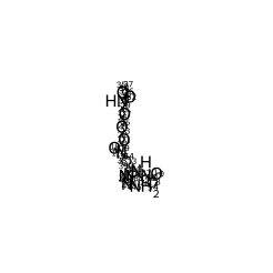 COc1cccc2cc(-c3nc(C4CCC(N(C=O)CCOCCOCCOCCNC(=O)OC(C)(C)C)CC4)n4ncnc(N)c34)[nH]c12